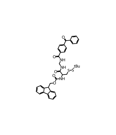 CC(C)(C)SSCC(NC(=O)OCC1c2ccccc2-c2ccccc21)C(=O)NCNC(=O)c1ccc(C(=O)c2ccccc2)cc1